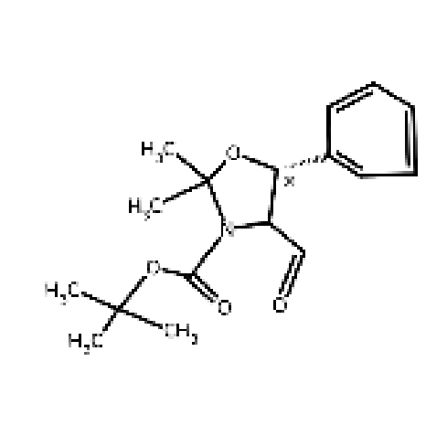 CC(C)(C)OC(=O)N1C(C=O)[C@@H](c2ccccc2)OC1(C)C